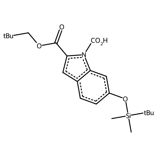 CC(C)(C)COC(=O)c1cc2ccc(O[Si](C)(C)C(C)(C)C)cc2n1C(=O)O